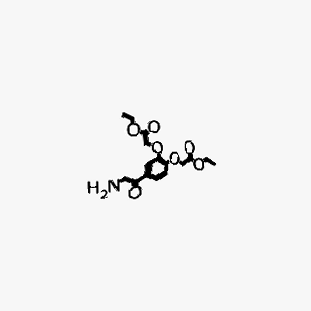 CCOC(=O)COc1ccc(C(=O)CN)cc1OCC(=O)OCC